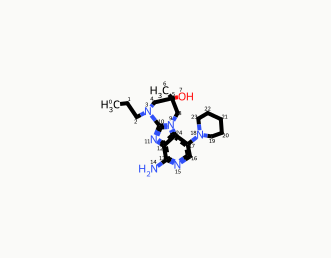 CCCN1CC(C)(O)Cn2c1nc1c(N)ncc(N3CCCCC3)c12